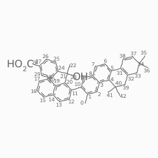 Cc1cc2c3c(ccc2cc1-c1ccc2ccccc2c1C(C)(O)c1ccc(C(=O)O)cc1)C1=C(CC(C)(C)C=C1)CC3(C)C